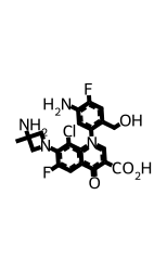 CC1(N)CN(c2c(F)cc3c(=O)c(C(=O)O)cn(-c4cc(N)c(F)cc4CO)c3c2Cl)C1